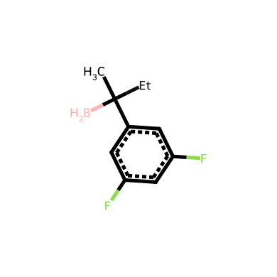 BC(C)(CC)c1cc(F)cc(F)c1